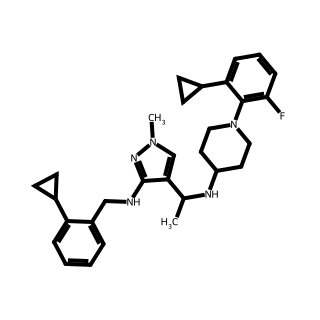 CC(NC1CCN(c2c(F)cccc2C2CC2)CC1)c1cn(C)nc1NCc1ccccc1C1CC1